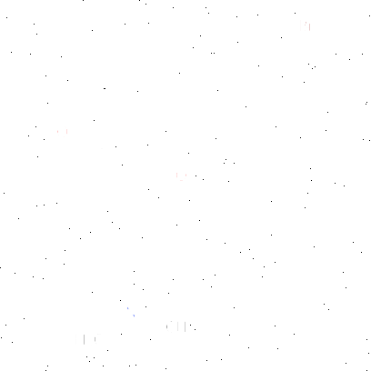 CN(C)c1ccc2c(=O)cc(-c3ccc(Br)cc3)oc2c1